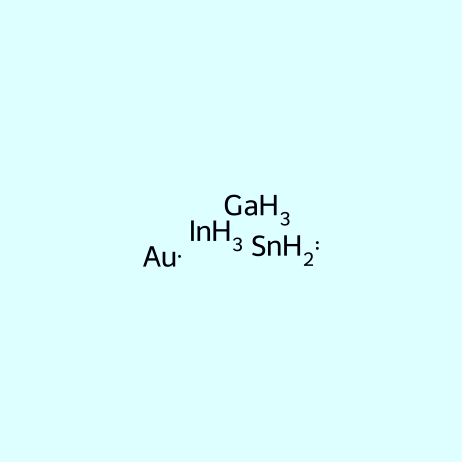 [Au].[GaH3].[InH3].[SnH2]